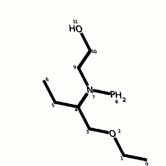 CCOCC(CC)N(P)CCO